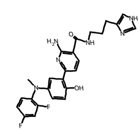 CN(c1ccc(O)c(-c2ccc(C(=O)NCCCc3c[nH]cn3)c(N)n2)c1)c1ccc(F)cc1F